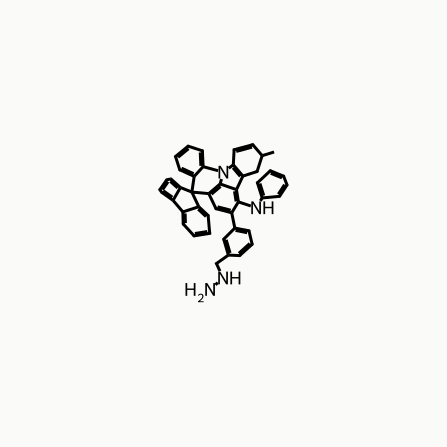 CC1C=Cc2c(c3c(Nc4ccccc4)c(-c4cccc(CNN)c4)cc4c3n2-c2ccccc2C42c3ccccc3-c3ccccc32)C1